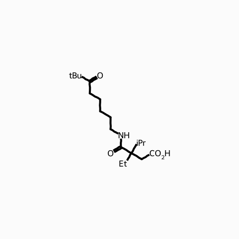 CCC(CC(=O)O)(C(=O)NCCCCCC(=O)C(C)(C)C)C(C)C